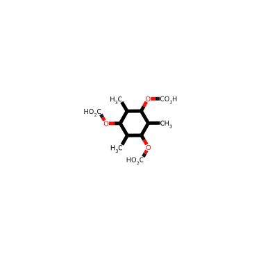 CC1C(OC(=O)O)C(C)C(OC(=O)O)C(C)C1OC(=O)O